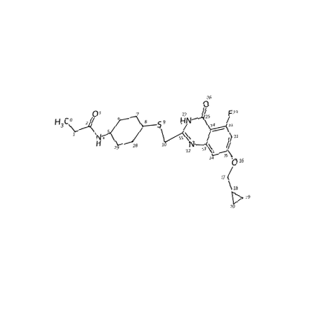 CCC(=O)NC1CCC(SCc2nc3cc(OCC4CC4)cc(F)c3c(=O)[nH]2)CC1